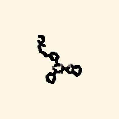 C/C=C\C(C)(C)/C=C\C=C\c1cccc(-c2nc(-c3ccccc3)nc(C3Cc4ccccc4O3)n2)c1